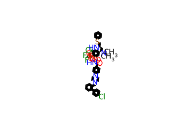 CN(C)CC[C@H](CSc1ccccc1)Nc1ccc(S(=O)(=O)NC(=O)c2ccc(N3CCN(CC4=C(c5ccc(Cl)cc5)CCCC4)CC3)cc2)c(S(=O)(=O)C(F)F)c1Cl